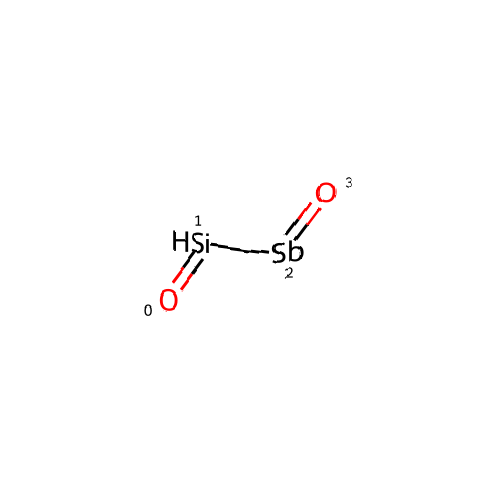 O=[SiH][Sb]=[O]